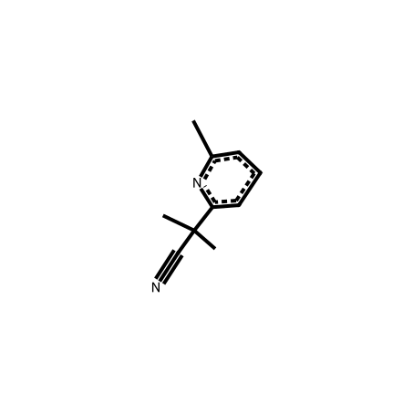 Cc1cccc(C(C)(C)C#N)n1